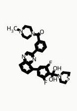 CN1CCN(C(=O)c2cccc(-c3cnc4cccc(-c5cc(F)c(C(O)(O)N6CCSCC6)c(F)c5)c4n3)c2)CC1